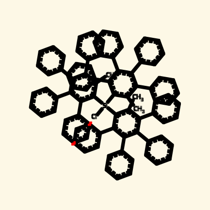 Cc1c(-c2ccccc2)c(-c2ccccc2)c(-c2ccccc2)c(-c2ccccc2)c1[Si](Cl)(c1c(C)c(-c2ccccc2)c(-c2ccccc2)c(-c2ccccc2)c1-c1ccccc1)c1c(C)c(-c2ccccc2)c(-c2ccccc2)c(-c2ccccc2)c1-c1ccccc1